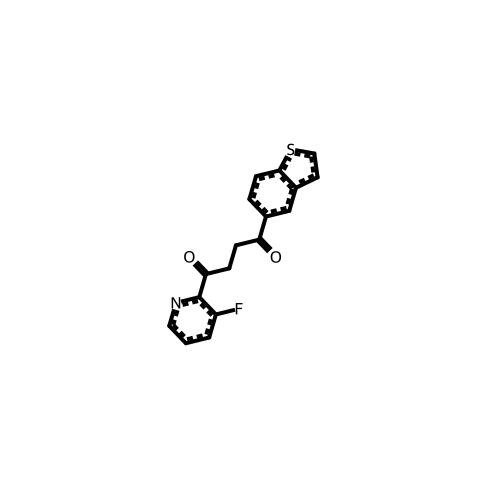 O=C(CCC(=O)c1ncccc1F)c1ccc2sccc2c1